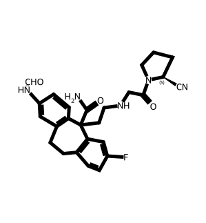 N#C[C@@H]1CCCN1C(=O)CNCCC1(C(N)=O)c2ccc(NC=O)cc2CCc2ccc(F)cc21